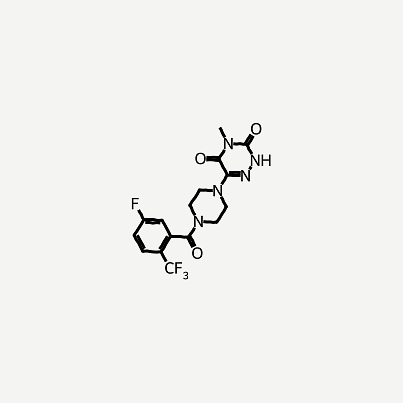 Cn1c(=O)[nH]nc(N2CCN(C(=O)c3cc(F)ccc3C(F)(F)F)CC2)c1=O